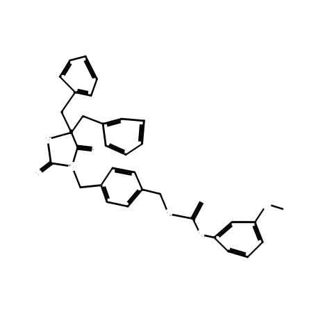 COc1cccc(NC(=O)NCc2ccc(CN3C(=N)NC(Cc4ccccc4)(Cc4ccccc4)C3=O)cc2)c1